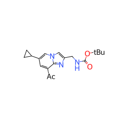 CC(=O)c1cc(C2CC2)cn2cc(CNC(=O)OC(C)(C)C)nc12